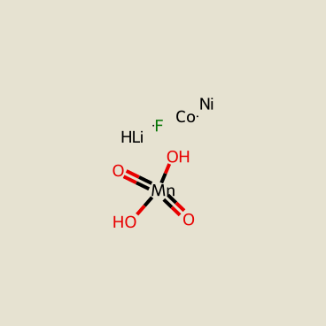 [Co].[F].[LiH].[Ni].[O]=[Mn](=[O])([OH])[OH]